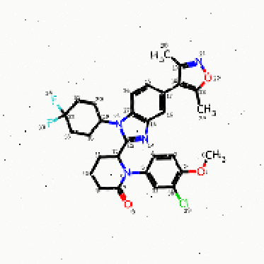 COc1ccc(N2C(=O)CCCC2c2nc3cc(-c4c(C)noc4C)ccc3n2C2CCC(F)(F)CC2)cc1Cl